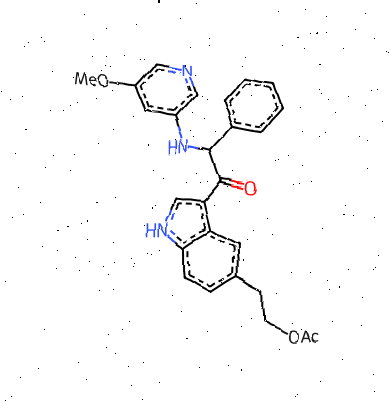 COc1cncc(NC(C(=O)c2c[nH]c3ccc(CCOC(C)=O)cc23)c2ccccc2)c1